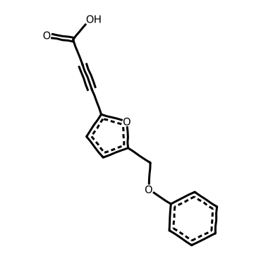 O=C(O)C#Cc1ccc(COc2ccccc2)o1